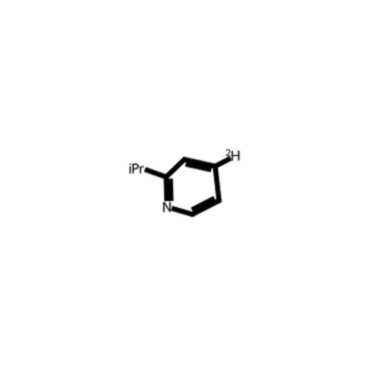 [2H]c1ccnc(C(C)C)c1